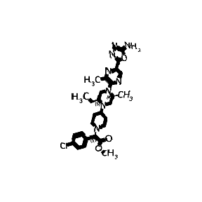 CC[C@H]1CN(c2ncc(-c3nnc(N)o3)nc2C)[C@H](C)CN1C1CCN([C@H](C(=O)OC)c2ccc(Cl)cc2)CC1